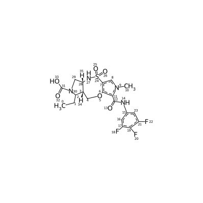 CCC1[C@H]2COc3c(cn(C)c3C(=O)Nc3cc(F)c(F)c(F)c3)S(=O)(=O)N[C@H]2CN1C(=O)O